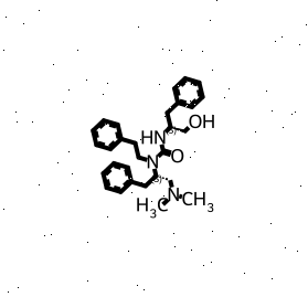 CN(C)C[C@H](Cc1ccccc1)N(CCc1ccccc1)C(=O)N[C@H](CO)Cc1ccccc1